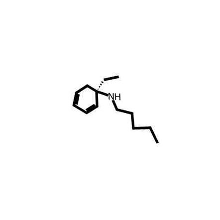 CCCCCN[C@@]1(CC)C=CC=CC1